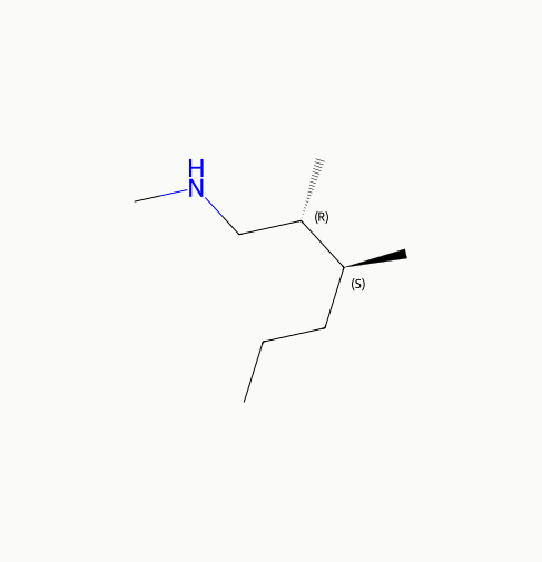 CCC[C@H](C)[C@@H](C)CNC